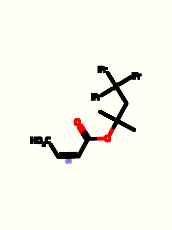 CC(C)[Si](CC(C)(C)OC(=O)/C=C\C(=O)O)(C(C)C)C(C)C